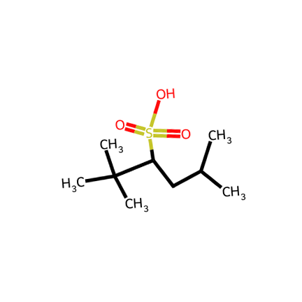 CC(C)CC(C(C)(C)C)S(=O)(=O)O